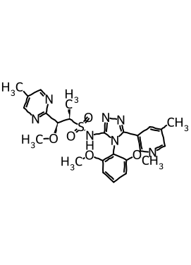 COc1cccc(OC)c1-n1c(NS(=O)(=O)[C@H](C)[C@@H](OC)c2ncc(C)cn2)nnc1-c1cncc(C)c1